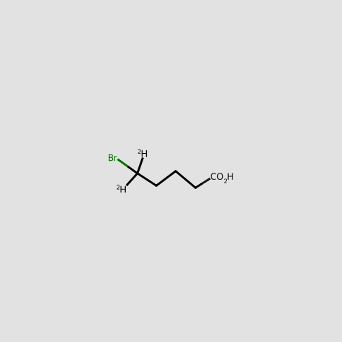 [2H]C([2H])(Br)CCCC(=O)O